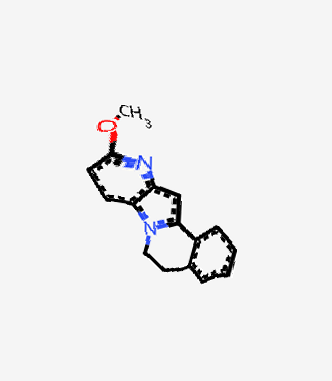 COc1ccc2c(cc3n2CCc2ccccc2-3)n1